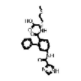 CSCC[C@H](NC(=O)c1ccc(NC(=O)c2c[nH]cn2)cc1-c1ccccc1)C(=O)O